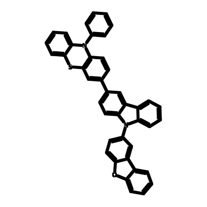 c1ccc(N2c3ccccc3Sc3cc(-c4ccc5c(c4)c4ccccc4n5-c4ccc5oc6ccccc6c5c4)ccc32)cc1